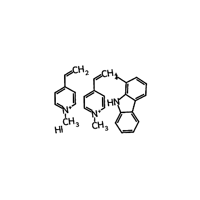 C=Cc1cc[n+](C)cc1.C=Cc1cc[n+](C)cc1.I.Ic1cccc2c1[nH]c1ccccc12